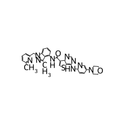 Cc1cccc(Cn2nc(C)c3c(NC(=O)c4csc5c(Nc6ccc(N7CCOCC7)cn6)ncnc45)cccc32)n1